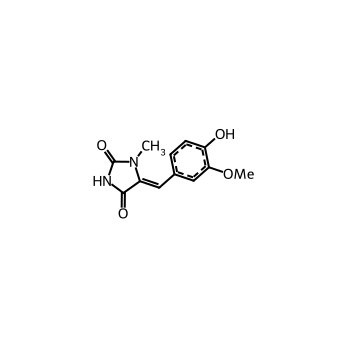 COc1cc(/C=C2/C(=O)NC(=O)N2C)ccc1O